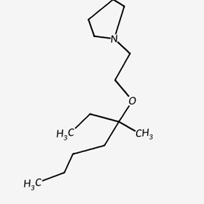 CCCCC(C)(CC)OCCN1CCCC1